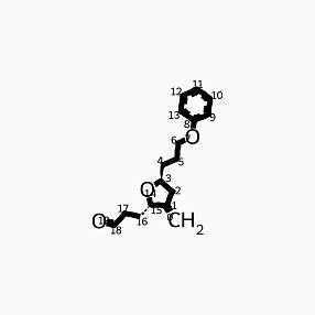 C=C1C[C@H](CCCOc2ccccc2)O[C@H]1CCC=O